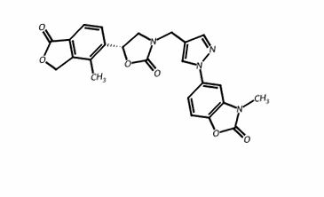 Cc1c([C@@H]2CN(Cc3cnn(-c4ccc5oc(=O)n(C)c5c4)c3)C(=O)O2)ccc2c1COC2=O